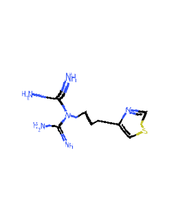 N=C(N)N(CCc1cscn1)C(=N)N